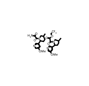 COc1cncc(C2CCC(C)CN2C(=O)C(=O)OCC(F)(F)F)c1.COc1cncc(C2CCC(C)CN2C(=O)C(N)=O)c1